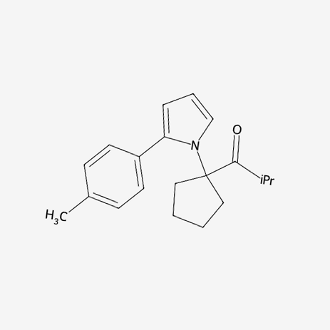 Cc1ccc(-c2cccn2C2(C(=O)C(C)C)CCCC2)cc1